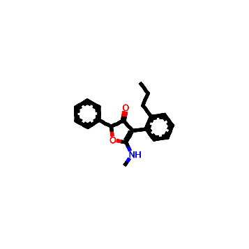 CCCc1ccccc1C1=C(NC)OC(c2ccccc2)C1=O